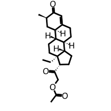 CC[C@]12CC[C@H]3[C@@H](CCC4=CC(=O)[C@H](C)C[C@@H]43)[C@@H]1CC[C@@H]2C(=O)COC(C)=O